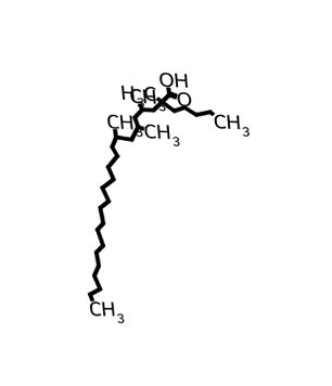 CCCCCCCCCCCCCCCCC(C)CC(C)CC(C)CC(C)(CCCCC)C(=O)O